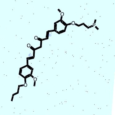 CCCCOc1ccc(/C=C/C(=O)CC(=O)/C=C/c2ccc(OCCCP(C)C)c(OC)c2)cc1OC